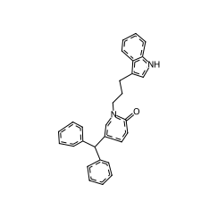 O=c1ccc(C(c2ccccc2)c2ccccc2)cn1CCCc1c[nH]c2ccccc12